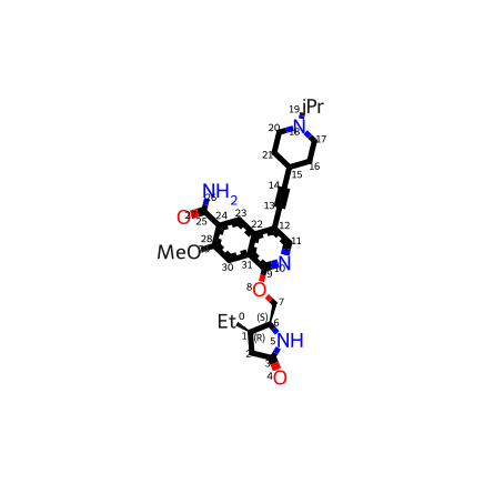 CC[C@@H]1CC(=O)N[C@@H]1COc1ncc(C#CC2CCN(C(C)C)CC2)c2cc(C(N)=O)c(OC)cc12